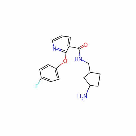 NC1CCC(CNC(=O)c2cccnc2Oc2ccc(F)cc2)C1